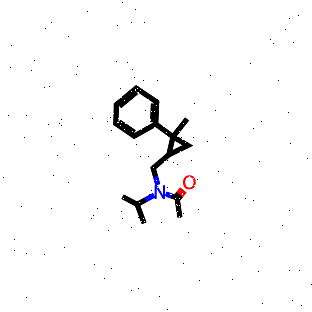 CC(=O)N(CC1CC1(C)c1ccccc1)C(C)C